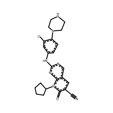 N#Cc1cc2cnc(Nc3ccc(N4CCNCC4)c(Cl)c3)nc2n(C2CCCC2)c1=O